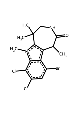 CC1C(=O)NCC(C)(C)c2c1c1c(Br)cc(Cl)c(Cl)c1n2C